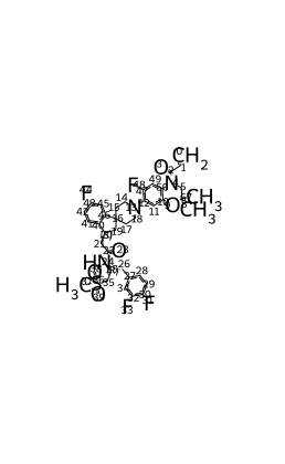 C=CC(=O)N1CC(C)(C)Oc2cc(N3CCC4(CC3)C[C@@H](CC(=O)N[C@H](Cc3ccc(F)c(F)c3)CS(C)(=O)=O)c3ccc(F)cc34)c(F)cc21